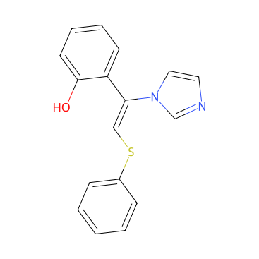 Oc1ccccc1C(=CSc1ccccc1)n1ccnc1